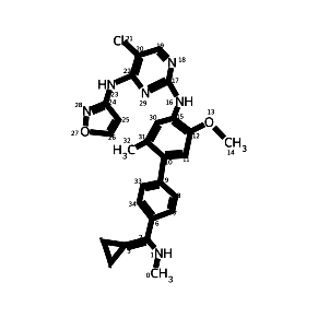 CNC(=C1CC1)c1ccc(-c2cc(OC)c(Nc3ncc(Cl)c(Nc4ccon4)n3)cc2C)cc1